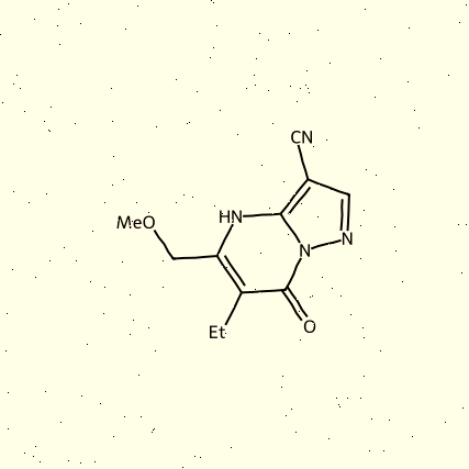 CCc1c(COC)[nH]c2c(C#N)cnn2c1=O